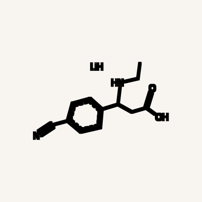 CCNC(CC(=O)O)c1ccc(C#N)cc1.[LiH]